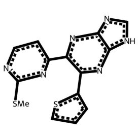 CSc1nccc(-c2nc3nc[nH]c3nc2-c2cccs2)n1